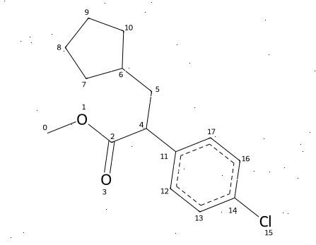 COC(=O)C(CC1CCCC1)c1ccc(Cl)cc1